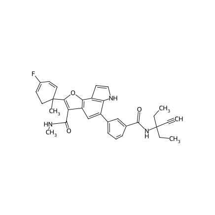 C#CC(CC)(CC)NC(=O)c1cccc(-c2cc3c(C(=O)NC)c(C4(C)C=CC(F)=CC4)oc3c3cc[nH]c23)c1